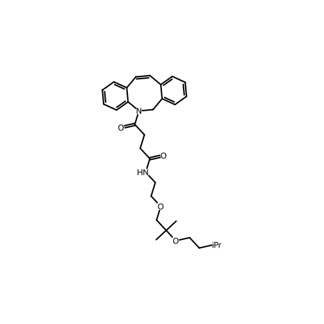 CC(C)CCOC(C)(C)COCCNC(=O)CCC(=O)N1Cc2ccccc2/C=C\c2ccccc21